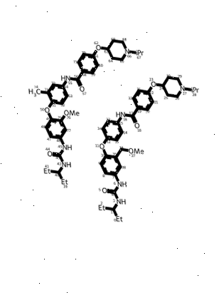 CCC(CC)NC(=O)Nc1ccc(Oc2ccc(NC(=O)c3ccc(OC4CCN(C(C)C)CC4)cc3)cc2)c(COC)c1.CCC(CC)NC(=O)Nc1ccc(Oc2ccc(NC(=O)c3ccc(OC4CCN(C(C)C)CC4)cc3)cc2C)c(OC)c1